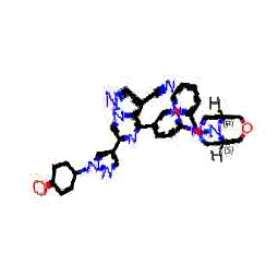 N#Cc1cnn2cc(-c3cnn(C4CCC(=O)CC4)c3)nc(-c3ccc(N4C[C@H]5COC[C@@H](C4)N5Cc4ccccn4)nc3)c12